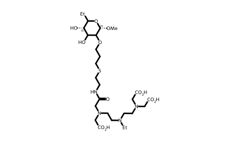 CCC1O[C@H](OC)C(OCCCSCCNC(=O)CN(CCN(CC)CCN(CC(=O)O)CC(=O)O)CC(=O)O)C(O)[C@@H]1O